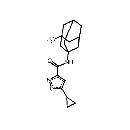 NC12CC3CC(C1)CC(NC(=O)c1cc(C4CC4)on1)(C3)C2